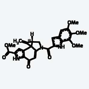 C=C1[C@@H]2CN(C(=O)c3cc4cc(OC)c(OC)c(OC)c4[nH]3)C3=CC(=O)c4[nH]c(C(=O)OC)cc4C132